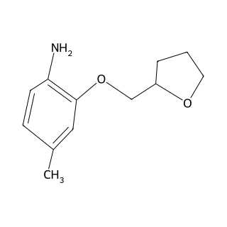 Cc1ccc(N)c(OCC2CCCO2)c1